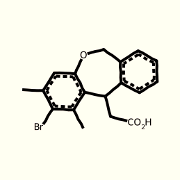 Cc1cc2c(c(C)c1Br)C(CC(=O)O)c1ccccc1CO2